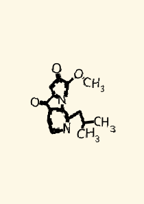 COc1cn2c(cc1=O)C(=O)c1ccnc(CC(C)C)c1-2